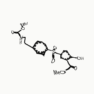 COC(=O)c1cc(S(=O)(=O)c2ccc(CCNC(=O)OC(C)(C)C)cc2)ccc1O